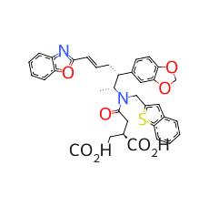 C[C@H]([C@H](C/C=C/c1nc2ccccc2o1)c1ccc2c(c1)OCO2)N(Cc1cc2ccccc2s1)C(=O)C[C@H](CC(=O)O)C(=O)O